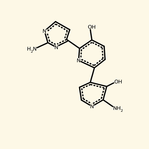 Nc1nccc(-c2nc(-c3ccnc(N)c3O)ccc2O)n1